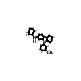 CC(C)(C)c1cccc(-n2c3ccccc3c3ccc(Nc4ccccc4)cc32)c1